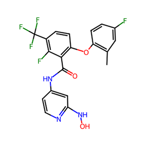 Cc1cc(F)ccc1Oc1ccc(C(F)(F)F)c(F)c1C(=O)Nc1ccnc(NO)c1